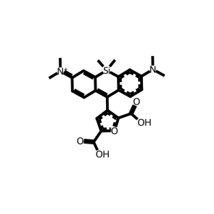 CN(C)c1ccc2c(c1)[Si](C)(C)C1=CC(=[N+](C)C)C=CC1=C2c1cc(C(=O)O)oc1C(=O)O